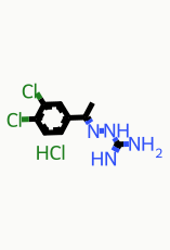 C/C(=N\NC(=N)N)c1ccc(Cl)c(Cl)c1.Cl